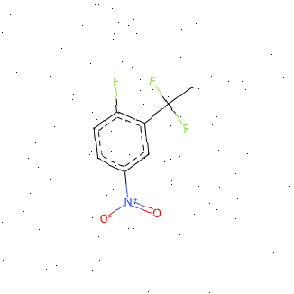 CC(F)(F)c1cc([N+](=O)[O-])ccc1F